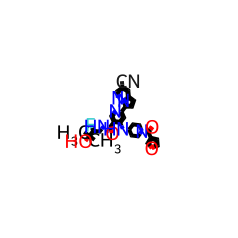 CC(C)(O)C(F)CNC(=O)c1cnc(-c2ccc3cc(C#N)cnn23)cc1NC1CCN(C(=O)c2ccoc2)CC1